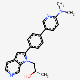 C[C@H](O)Cn1c(-c2ccc(-c3ccc(N(C)C)nc3)cc2)cc2ccncc21